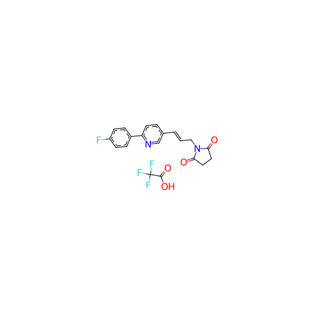 O=C(O)C(F)(F)F.O=C1CCC(=O)N1CC=Cc1ccc(-c2ccc(F)cc2)nc1